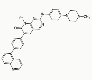 CCn1c(=O)c(-c2ccc(-c3cccc4ncccc34)cc2)cc2cnc(Nc3ccc(N4CCN(C)CC4)cc3)nc21